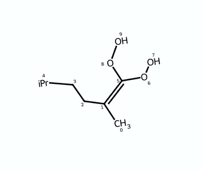 CC(CCC(C)C)=C(OO)OO